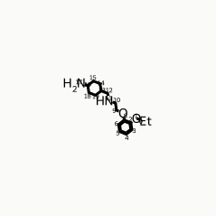 CCOc1ccccc1OCCNCC1CCC(N)CC1